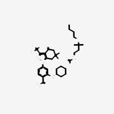 CCCCSC(C)(C)CCNC(=O)O[C@H]1CC[C@H](Nc2cc(-n3nc(C(F)(F)F)c4c3CC(C)(C)CC4=O)ccc2C(N)=O)CC1